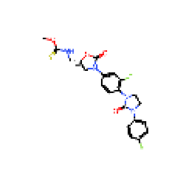 COC(=S)NC[C@H]1CN(c2ccc(N3CCN(c4ccc(F)cc4)C3=O)c(F)c2)C(=O)O1